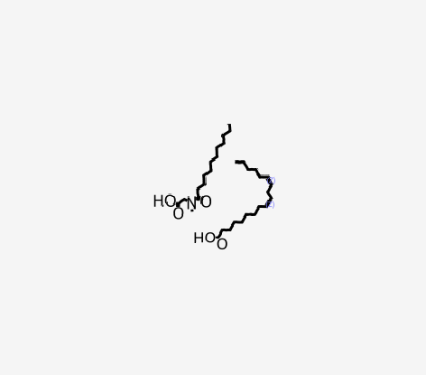 CCCCC/C=C\C/C=C\CCCCCCCC(=O)O.CCCCCCCCCCCC(=O)N(C)CC(=O)O